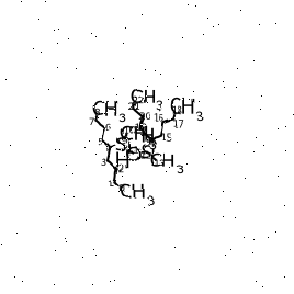 CCCCC(CCCC)[SiH](C)O[SiH](C)C(CCCC)CCCC